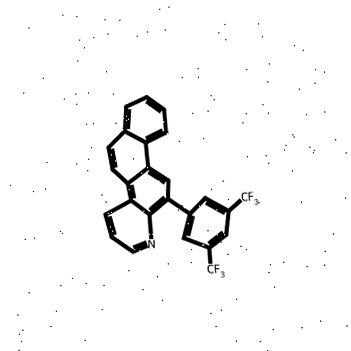 FC(F)(F)c1cc(-c2cc3c4ccccc4ccc3c3cccnc23)cc(C(F)(F)F)c1